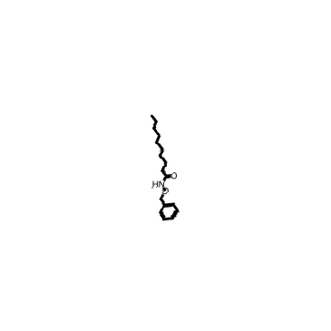 CCCCCCCCCC(=O)NOCc1ccccc1